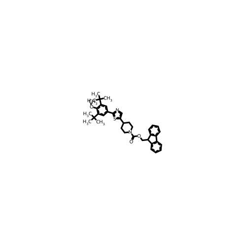 COc1c(C(C)(C)C)cc(-c2ncc(C3CCN(C(=O)OCC4c5ccccc5-c5ccccc54)CC3)s2)cc1C(C)(C)C